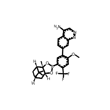 COc1cc(C(F)(F)F)c(B2O[C@@H]3C[C@@H]4C[C@@H](C4(C)C)[C@]3(C)O2)cc1-c1ccc2c(N)cnnc2c1